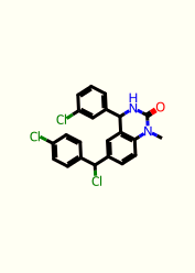 CN1C(=O)NC(c2cccc(Cl)c2)c2cc(C(Cl)c3ccc(Cl)cc3)ccc21